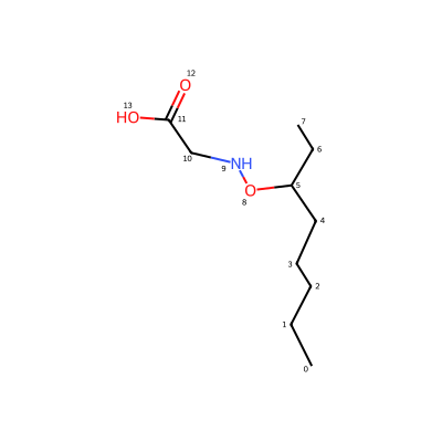 CCCCCC(CC)ONCC(=O)O